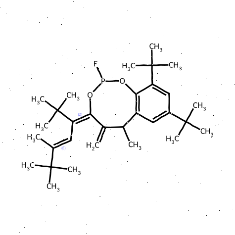 C=C1/C(=C(\C=C(/C)C(C)(C)C)C(C)(C)C)OP(F)Oc2c(cc(C(C)(C)C)cc2C(C)(C)C)C1C